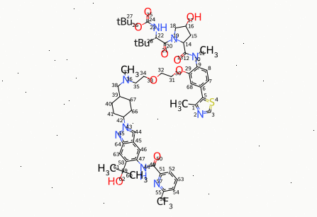 Cc1ncsc1-c1ccc(N(C)C(=O)C2CC(O)CN2C(=O)C(NC(=O)OC(C)(C)C)C(C)(C)C)c(OCCOCCN(C)CC2CCC(n3cc4cc(NC(=O)c5cccc(C(F)(F)F)n5)c(C(C)(C)O)cc4n3)CC2)c1